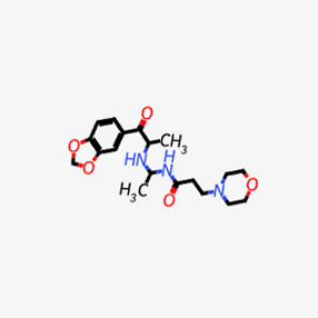 CC(NC(=O)CCN1CCOCC1)NC(C)C(=O)c1ccc2c(c1)OCO2